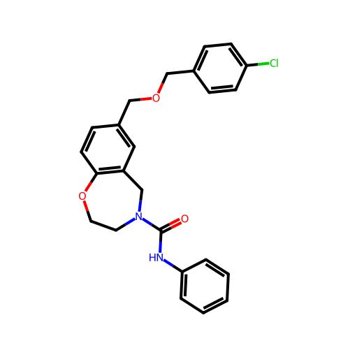 O=C(Nc1ccccc1)N1CCOc2ccc(COCc3ccc(Cl)cc3)cc2C1